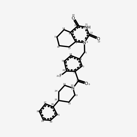 O=C(c1cc(Cn2c3c(c(=O)[nH]c2=O)CCCC3)ccc1F)N1CCC(c2ccccc2)CC1